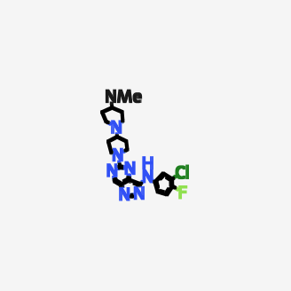 CNC1CCN(C2CCN(c3ncc4ncnc(Nc5ccc(F)c(Cl)c5)c4n3)CC2)CC1